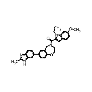 CCn1c(C(=O)N2CCOc3ccc(-c4ccc5nc(C)[nH]c5c4)cc3C2)cc2ccc(OC)cc21